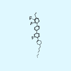 CCCCCCCC1CC=C(c2ccc(-c3ccc(-c4ccc(CC)c(F)c4F)cc3)cc2F)CC1